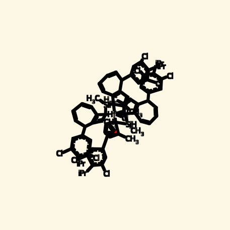 CC1=CC2=C(C=CC=CC2c2cc(Cl)c(C(C)C)c(Cl)c2)[C]12[SiH](C)[C]1(C(C)=CC3=C1C=CC=CC3c1cc(Cl)c(C(C)C)c(Cl)c1)[Hf]21([Cl])([Cl])[C]2(C(C)=CC3=C2C=CC=CC3c2cc(Cl)c(C(C)C)c(Cl)c2)[SiH](C)[C]12C(C)=CC1=C2C=CC=CC1c1cc(Cl)c(C(C)C)c(Cl)c1